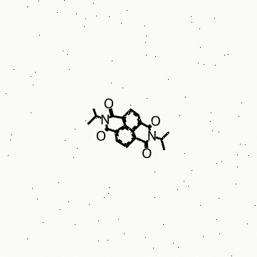 CC(C)N1C(=O)c2ccc3c4c(ccc(c24)C1=O)C(=O)N(C(C)C)C3=O